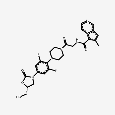 Cc1nc2cnccn2c1C(=O)NCC(=O)N1CCN(c2c(F)cc(N3C[C@H](CO)OC3=O)cc2F)CC1